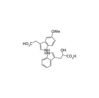 COc1ccc2[nH]cc(CC(=O)O)c2c1.O=C(O)C(O)Cc1c[nH]c2ccccc12